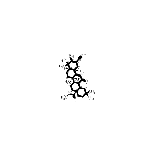 COC(=O)[C@]12CCC(C)(C)CC1C1C(=O)C=C3[C@@]4(C)CC(C#N)=C(O)C(C)(C)[C@@H]4CC[C@@]3(C)[C@]1(C)CC2